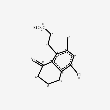 CCOC(=O)CCc1c(C)cc(Cl)c2c1C(=O)CCC2